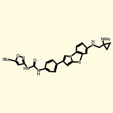 CNC1(CNc2ccc3c(c2)sc2cc(-c4ccc(NC(=O)Nc5cc(C(C)(C)C)on5)cc4)cn23)CC1